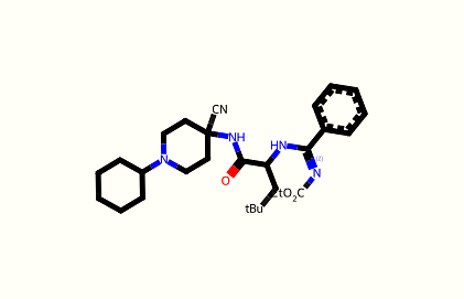 CCOC(=O)/N=C(\NC(CC(C)(C)C)C(=O)NC1(C#N)CCN(C2CCCCC2)CC1)c1ccccc1